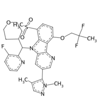 Cc1cnn(C)c1-c1cnc2c3c(OCC(C)(F)F)ccc(S(C)(=O)=O)c3n(C(c3ncccc3F)C3CCOCC3)c2c1